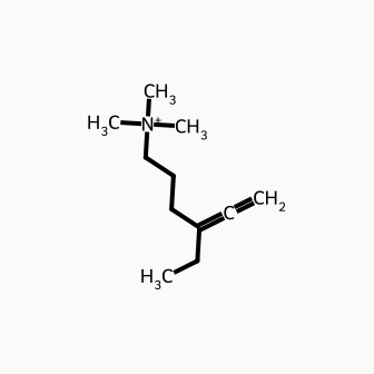 C=C=C(CC)CCC[N+](C)(C)C